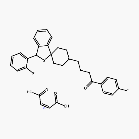 O=C(CCCN1CCC2(CC1)SC(c1ccccc1F)c1ccccc12)c1ccc(F)cc1.O=C(O)/C=C\C(=O)O